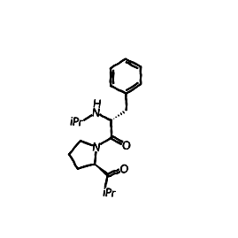 CC(C)N[C@H](Cc1ccccc1)C(=O)N1CCC[C@@H]1C(=O)C(C)C